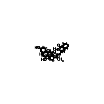 C[C@H](CCc1nc2cnccc2c(=O)[nH]1)[C@H]1CC[C@H]2[C@H]3C(C[C@H](O)[C@]12C)[C@@]1(C)CC[C@@H](O)C[C@H]1C[C@H]3O